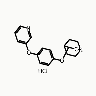 Cl.c1cncc(Oc2ccc(OC3CN4CCC3CC4)cc2)c1